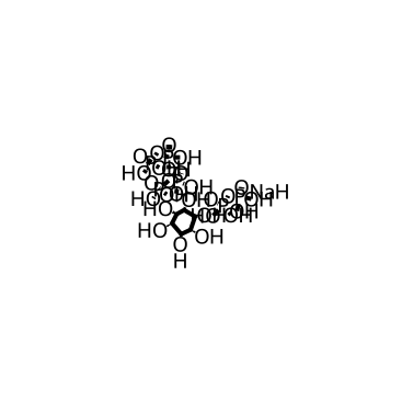 O=P(O)(O)OP(=O)(O)O.O=P(O)(O)OP(=O)(O)O.O=P(O)(O)OP(=O)(O)O.O[C@H]1[C@H](O)[C@@H](O)[C@H](O)[C@@H](O)[C@H]1O.[NaH]